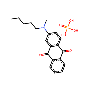 CCCCCN(C)c1ccc2c(c1)C(=O)c1ccccc1C2=O.O=P(O)(O)O